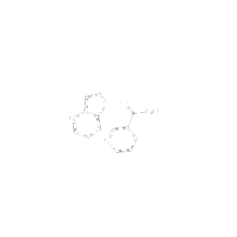 NC(=O)c1cccnc1.c1cnc2ccsc2c1